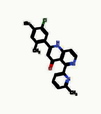 Cc1cccc(-c2nccc3[nH]c(-c4cc(Cl)c(C(C)(C)C)cc4C)cc(=O)c23)n1